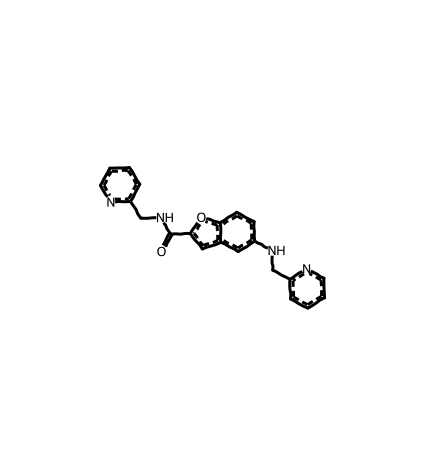 O=C(NCc1ccccn1)c1cc2cc(NCc3ccccn3)ccc2o1